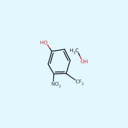 CO.O=[N+]([O-])c1cc(O)ccc1C(F)(F)F